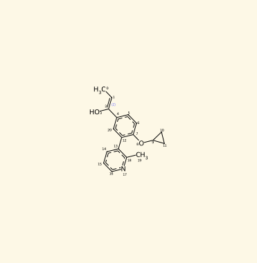 C/C=C(\O)c1ccc(OC2CC2)c(-c2cccnc2C)c1